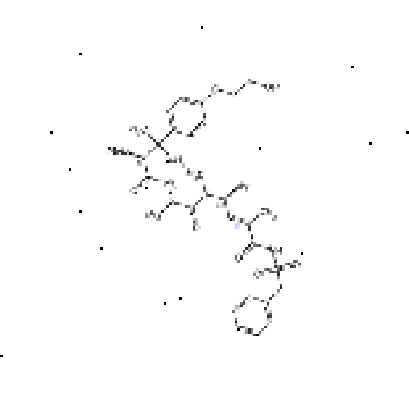 CN[C@H](C(=O)NC(C(=O)N(C)[C@H](/C=C(\C)C(=O)NS(=O)(=O)Cc1ccccc1)C(C)C)C(C)(C)C)C(C)(C)c1ccc(OCCO)cc1